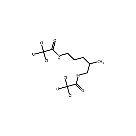 CC(CCCNC(=O)C(Cl)(Cl)Cl)CNC(=O)C(Cl)(Cl)Cl